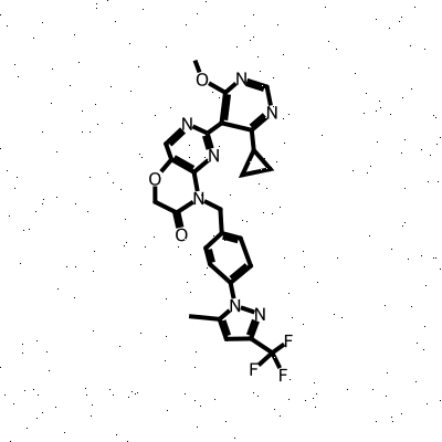 COc1ncnc(C2CC2)c1-c1ncc2c(n1)N(Cc1ccc(-n3nc(C(F)(F)F)cc3C)cc1)C(=O)CO2